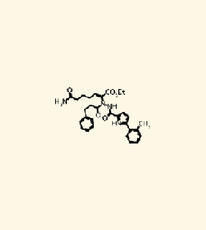 CCOC(=O)/C(=C/CCCC(N)=O)N(NC(=O)c1ccc(-c2ccccc2C)[nH]1)C(=O)CCc1ccccc1